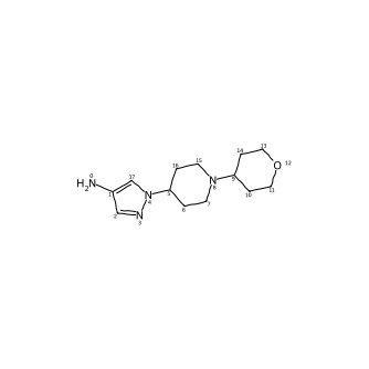 Nc1cnn(C2CCN(C3CCOCC3)CC2)c1